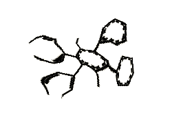 C/C=C\C(=C/C)c1c(C)c(-c2ccccc2)c(-c2ccccc2)c(C)c1C(/C=C\C)=C/C